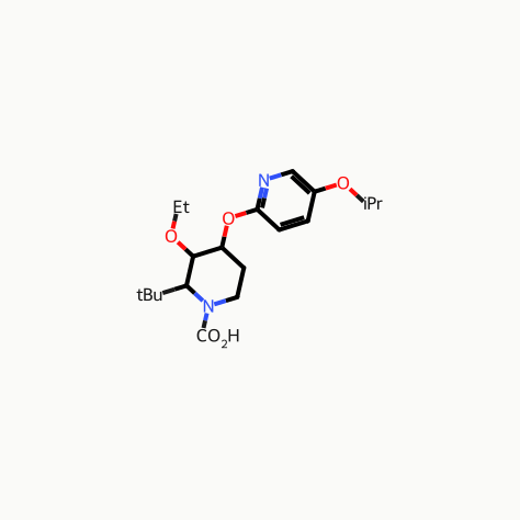 CCOC1C(Oc2ccc(OC(C)C)cn2)CCN(C(=O)O)C1C(C)(C)C